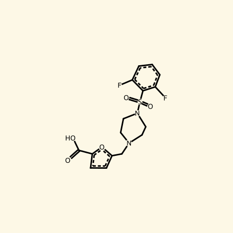 O=C(O)c1ccc(CN2CCN(S(=O)(=O)c3c(F)cccc3F)CC2)o1